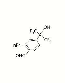 CCCc1cc(C(O)(C(F)(F)F)C(F)(F)F)ccc1C=O